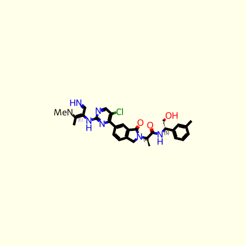 CN/C(C)=C(\C=N)Nc1ncc(Cl)c(-c2ccc3c(c2)C(=O)N([C@H](C)C(=O)N[C@H](CO)c2cccc(C)c2)C3)n1